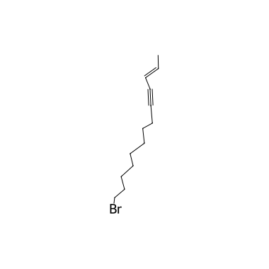 CC=CC#CCCCCCCCCBr